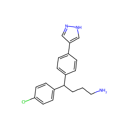 NCCCC(c1ccc(Cl)cc1)c1ccc(-c2cn[nH]c2)cc1